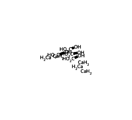 O=C(O)O.O=C(O)O.O=C(O)O.O=C(O)O.[CaH2].[CaH2].[CaH2].[CaH2].[CaH2]